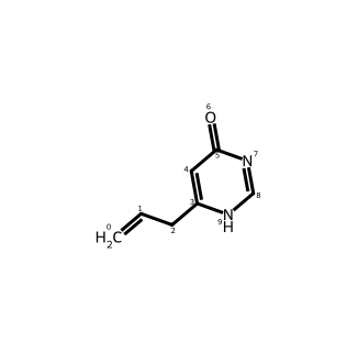 C=CCc1cc(=O)nc[nH]1